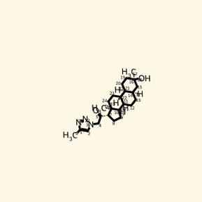 Cc1cn(CC(=O)[C@H]2CC[C@H]3[C@@H]4CC[C@@H]5C[C@](C)(O)CC[C@@H]5[C@H]4CC[C@]23C)nn1